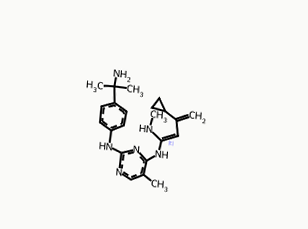 C=C(/C=C(\NC)Nc1nc(Nc2ccc(C(C)(C)N)cc2)ncc1C)C1CC1